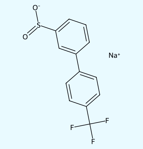 O=S([O-])c1cccc(-c2ccc(C(F)(F)F)cc2)c1.[Na+]